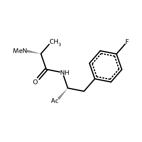 CN[C@H](C)C(=O)N[C@H](Cc1ccc(F)cc1)C(C)=O